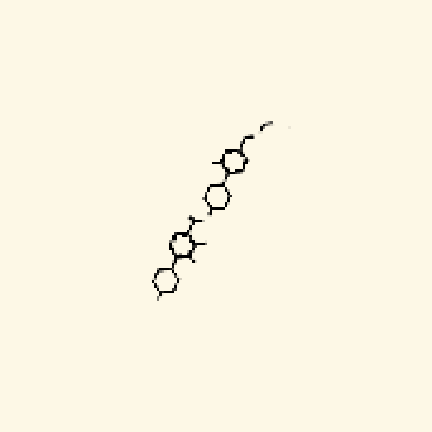 CCOCc1ccc(C2CCC(OC(=O)c3ccc(C4CCC(C)CC4)c(F)c3F)CC2)c(F)c1